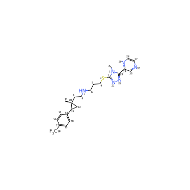 Cn1c(SCCCNCC[C@]2(C)CC2c2ccc(C(F)(F)F)cc2)nnc1-c1cnccn1